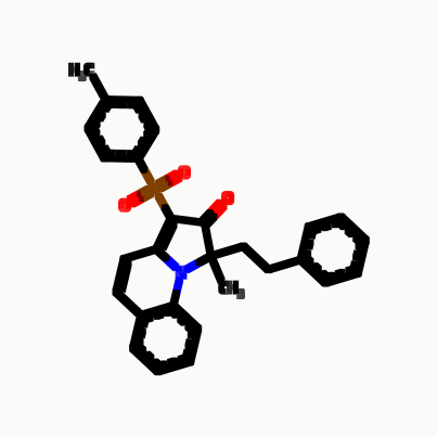 Cc1ccc(S(=O)(=O)C2=C3C=Cc4ccccc4N3C(C)(CCc3ccccc3)C2=O)cc1